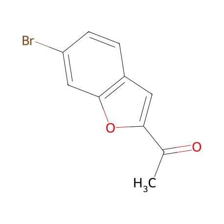 CC(=O)c1cc2ccc(Br)cc2o1